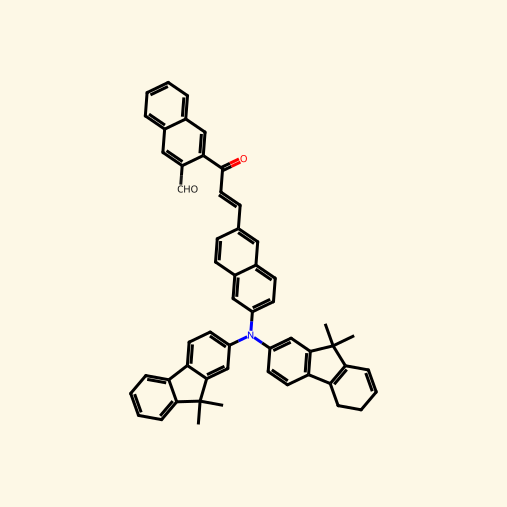 CC1(C)C2=C(CCC=C2)c2ccc(N(c3ccc4c(c3)C(C)(C)c3ccccc3-4)c3ccc4cc(/C=C/C(=O)c5cc6ccccc6cc5C=O)ccc4c3)cc21